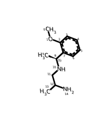 COc1ccccc1[C@H](C)NCC(C)N